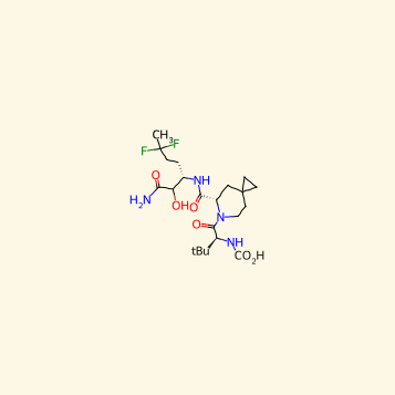 CC(F)(F)CC[C@H](NC(=O)[C@@H]1CC2(CCN1C(=O)[C@@H](NC(=O)O)C(C)(C)C)CC2)C(O)C(N)=O